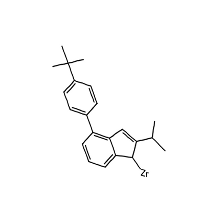 CC(C)C1=Cc2c(-c3ccc(C(C)(C)C)cc3)cccc2[CH]1[Zr]